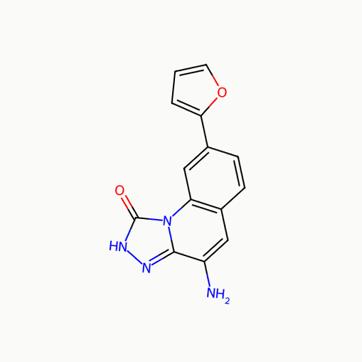 Nc1cc2ccc(-c3ccco3)cc2n2c(=O)[nH]nc12